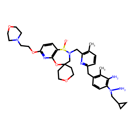 Cc1ccc(Cc2ccc(N(N)CC3CC3)c(N)c2C)nc1CN1CC2(CCOCC2)Oc2nc(OCCN3CCOCC3)ccc2[S+]1[O-]